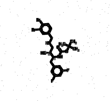 CC(C)(C)OC(=O)N[C@@H](Cc1cc(F)cc(F)c1)[C@H](O)CNCc1ccc(Br)c(Br)c1